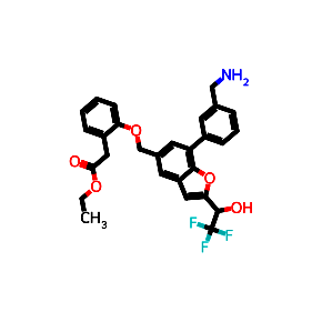 CCOC(=O)Cc1ccccc1OCc1cc(-c2cccc(CN)c2)c2oc(C(O)C(F)(F)F)cc2c1